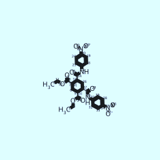 CCOC(=O)[C@H]1C[C@@H](C(=O)OCC)[C@@H](C(=O)Nc2ccc([N+](=O)[O-])cc2)C[C@@H]1C(=O)Nc1ccc([N+](=O)[O-])cc1